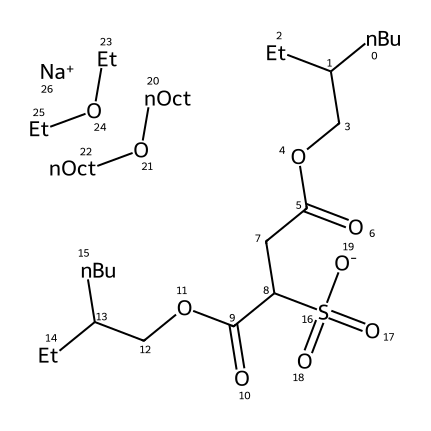 CCCCC(CC)COC(=O)CC(C(=O)OCC(CC)CCCC)S(=O)(=O)[O-].CCCCCCCCOCCCCCCCC.CCOCC.[Na+]